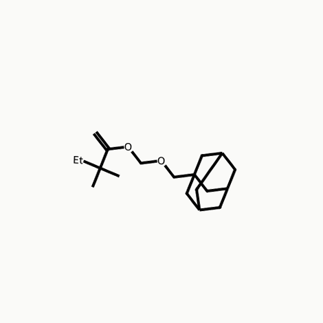 C=C(OCOCC12CC3CC(CC(C3)C1)C2)C(C)(C)CC